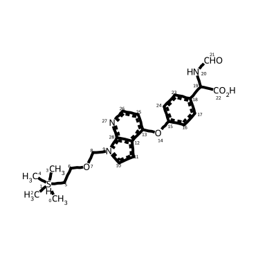 C[SH](C)(C)(C)CCOCn1ccc2c(Oc3ccc(C(NC=O)C(=O)O)cc3)ccnc21